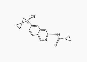 N#C[C@]1(c2ccc3cnc(NC(=O)C4CC4)cc3c2)CC12CC2